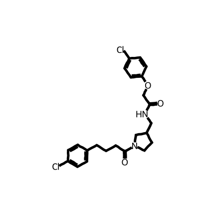 O=C(COc1ccc(Cl)cc1)NCC1CCN(C(=O)CCCc2ccc(Cl)cc2)C1